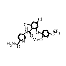 COc1cc(OC(F)(F)F)ccc1Oc1cc(Cl)cc(Cl)c1C(=O)Nc1ccc(C(N)=O)nc1